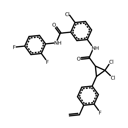 C=Cc1ccc(C2C(C(=O)Nc3ccc(Cl)c(C(=O)Nc4ccc(F)cc4F)c3)C2(Cl)Cl)cc1F